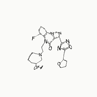 O=c1c2c(-c3noc(C4CCCO4)n3)ncn2c2cccc(F)c2n1CCN1CCCC(O)C1